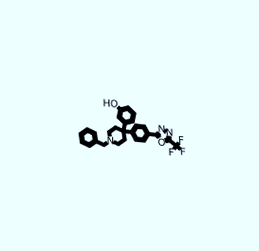 Oc1cccc(C2(c3ccc(-c4nnc(C(F)(F)F)o4)cc3)CCN(Cc3ccccc3)CC2)c1